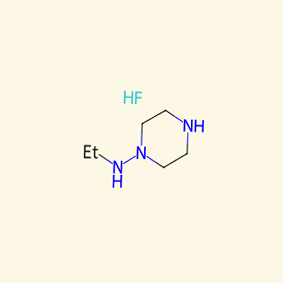 CCNN1CCNCC1.F